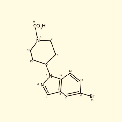 O=C(O)N1CCC(n2ncc3cc(Br)ccc32)CC1